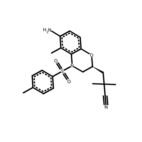 Cc1ccc(S(=O)(=O)N2C[C@H](CC(C)(C)C#N)Oc3ccc(N)c(C)c32)cc1